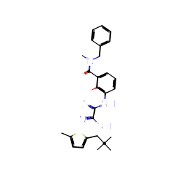 Cc1ccc([C@H](Nc2nsnc2Nc2cccc(C(=O)N(C)Cc3ccccc3)c2O)C(C)(C)C)s1